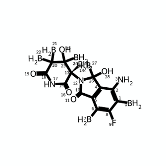 Bc1c(N)c2c(c(B)c1F)C(=O)N([C@]1(B)C(=O)NC(=O)C(B)(B)C1(B)O)C2(B)O